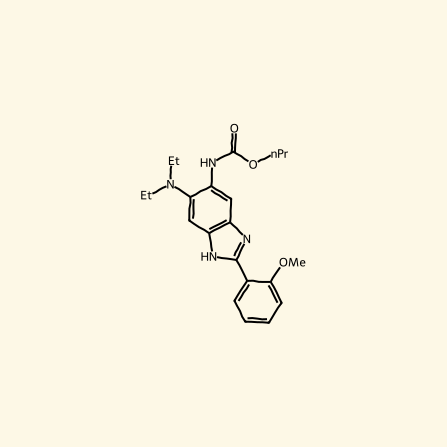 CCCOC(=O)Nc1cc2nc(-c3ccccc3OC)[nH]c2cc1N(CC)CC